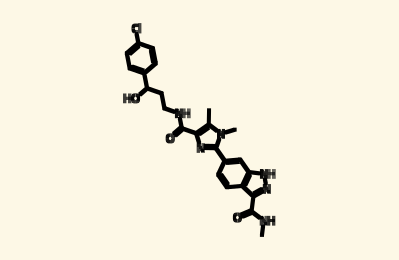 CNC(=O)c1n[nH]c2cc(-c3nc(C(=O)NCCC(O)c4ccc(Cl)cc4)c(C)n3C)ccc12